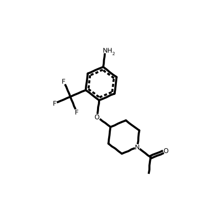 CC(=O)N1CCC(Oc2ccc(N)cc2C(F)(F)F)CC1